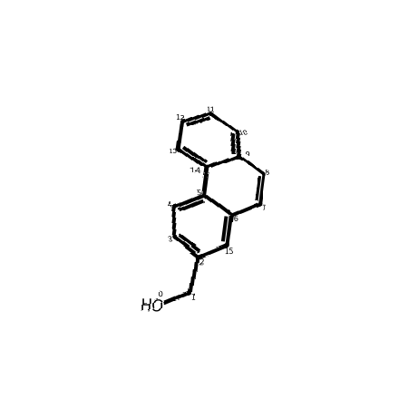 OCc1ccc2c(ccc3ccccc32)c1